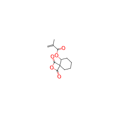 C=C(C)C(=O)OC1CCCCC12C(=O)OC2=O